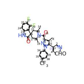 C/N=C\C(=C/C=O)c1c(C)c(C(=O)N2[C@H](C)CC3(C[C@@H]2C)C(=O)Nc2ccc(F)c(F)c23)nn1-c1ccc(C(F)(F)F)cc1